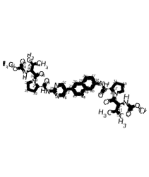 COC(=O)N[C@H](C(=O)N1CCC[C@H]1C(=O)Nc1ccc2cc(-c3cnc(NC(=O)[C@@H]4CCCN4C(=O)[C@@H](NC(=O)OC)C(C)C)nc3)ccc2c1)C(C)C